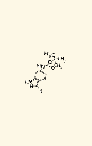 CC(C)(C)OC(=O)Nc1ccc2c(I)n[nH]c2c1